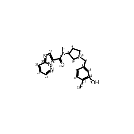 O=C(NC1CCN(Cc2ccc(F)c(O)c2)C1)c1cnc2cccnn12